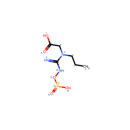 CCCN(CC(=O)O)C(=N)NO[PH](=O)O